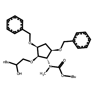 CCCCC(O)CO[C@@H]1[C@@H](N(C)C(=O)OC(C)(C)C)[C@H](OCc2ccccc2)C[C@@H]1OCc1ccccc1